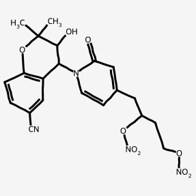 CC1(C)Oc2ccc(C#N)cc2C(n2ccc(CC(CCO[N+](=O)[O-])O[N+](=O)[O-])cc2=O)C1O